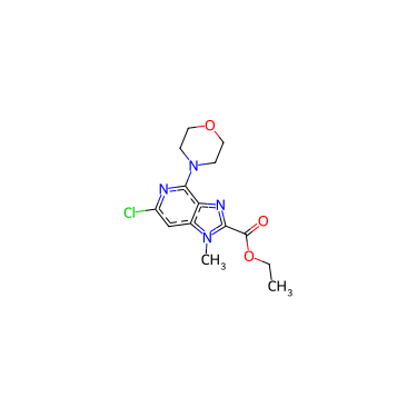 CCOC(=O)c1nc2c(N3CCOCC3)nc(Cl)cc2n1C